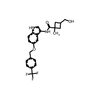 CC1(C(=O)Nc2c[nH]c3ccc(OCc4ccc(C(F)(F)F)cc4)cc23)CC(CO)C1